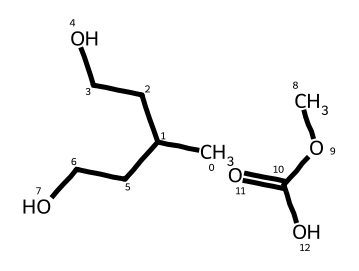 CC(CCO)CCO.COC(=O)O